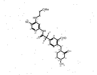 COCCNc1cc(NC(=O)C(F)(F)c2ccc(CN3CCN(C)CC3=O)c(C=O)n2)ncc1C#N